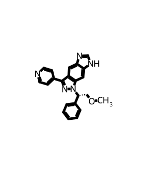 COC[C@H](c1ccccc1)n1nc(-c2ccncc2)c2cc3nc[nH]c3cc21